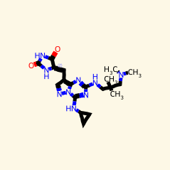 CN(C)CC(C)(C)CNc1nc(NC2CC2)n2ncc(/C=C3\NC(=O)NC3=O)c2n1